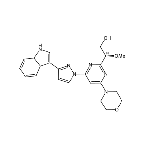 CO[C@H](CO)c1nc(N2CCOCC2)cc(-n2ccc(C3=CNC4C=CC=CC34)n2)n1